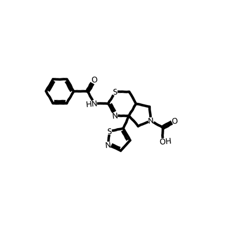 O=C(NC1=NC2(c3ccns3)CN(C(=O)O)CC2CS1)c1ccccc1